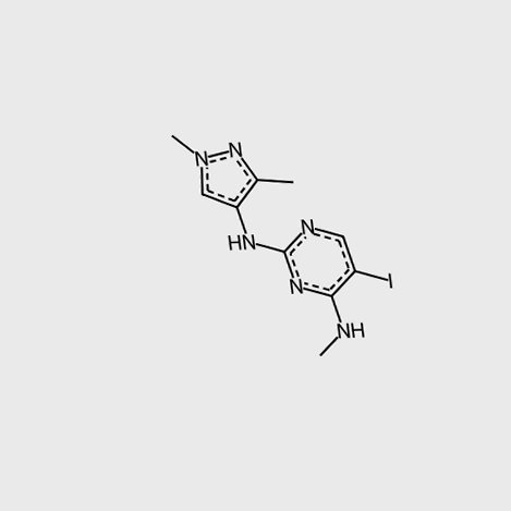 CNc1nc(Nc2cn(C)nc2C)ncc1I